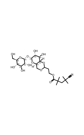 CC(C)(C#N)CC(C)(C)C(=O)OCCC1OC[C@H]2O[C@H](O[C@H]3O[C@H](CO)[C@@H](O)[C@H](O)[C@H]3O)[C@H](O)[C@@H](O)[C@@H]2O1